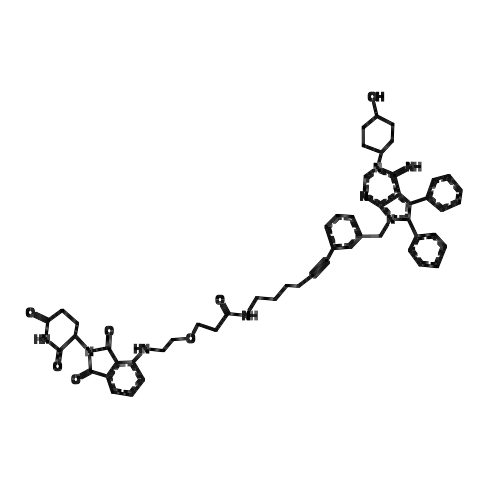 N=c1c2c(-c3ccccc3)c(-c3ccccc3)n(Cc3cccc(C#CCCCCNC(=O)CCOCCNc4cccc5c4C(=O)N(C4CCC(=O)NC4=O)C5=O)c3)c2ncn1C1CCC(O)CC1